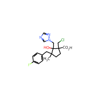 CC1(Cc2ccc(F)cc2)CCC(CCl)(C(=O)O)C1(O)Cn1cncn1